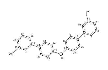 Ic1cccc(-c2ccc(Oc3ccc(-c4cccc(I)c4)cc3)cc2)c1